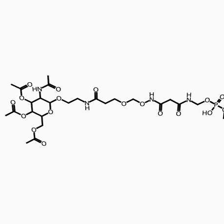 COP(=O)(O)OCNC(=O)CC(=O)NOCOCCC(=O)NCCOC1OC(COC(C)=O)C(OC(C)=O)C(OC(C)=O)C1NC(C)=O